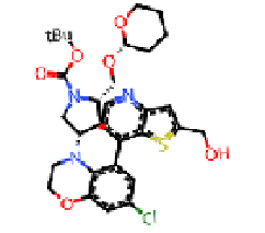 CC(C)(C)OC(=O)N1C[C@@H](N2CCOc3cc(Cl)cc(-c4ccnc5cc(CO)sc45)c32)C[C@H]1CO[C@H]1CCCCO1